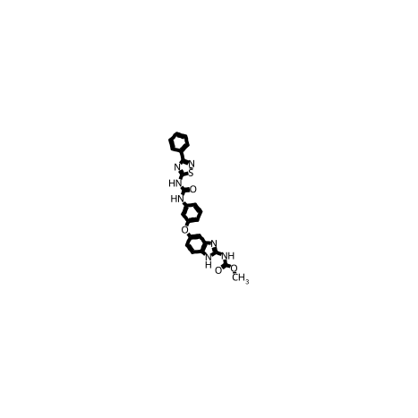 COC(=O)Nc1nc2cc(Oc3cccc(NC(=O)Nc4nc(-c5ccccc5)ns4)c3)ccc2[nH]1